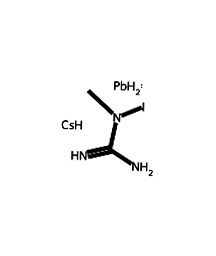 CN(I)C(=N)N.[CsH].[PbH2]